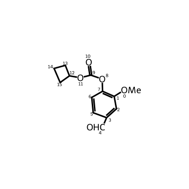 COc1cc(C=O)ccc1OC(=O)OC1CCC1